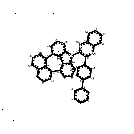 c1ccc(-c2ccc(-c3nc4ccccc4nc3-n3c4cccc5c4c4c(cccc43)-c3cccc4cccc-5c34)cc2)cc1